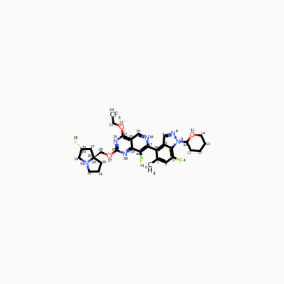 Cc1cc(F)c2c(cnn2C2CCCCO2)c1-c1ncc2c(OCC(F)(F)F)nc(OC[C@@]34CCCN3C[C@H](F)C4)nc2c1F